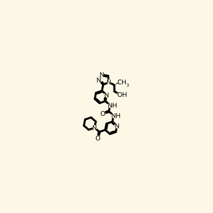 C[C@H](CO)n1cnnc1-c1cccc(NC(=O)Nc2cc(C(=O)N3CCCCC3)ccn2)n1